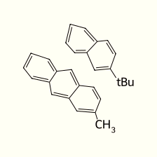 CC(C)(C)c1ccc2ccccc2c1.Cc1ccc2cc3ccccc3cc2c1